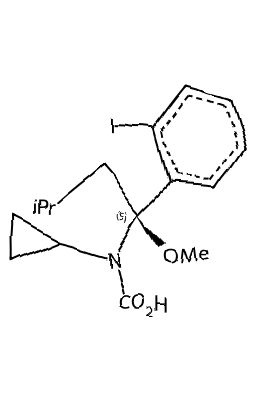 CO[C@@](CC(C)C)(c1ccccc1I)N(C(=O)O)C1CC1